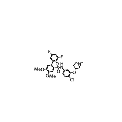 COc1cc(-c2cc(F)cc(F)c2)c(S(=O)(=O)Nc2ccc(Cl)c(O[C@@H]3CCN(C)C3)c2)cc1OC